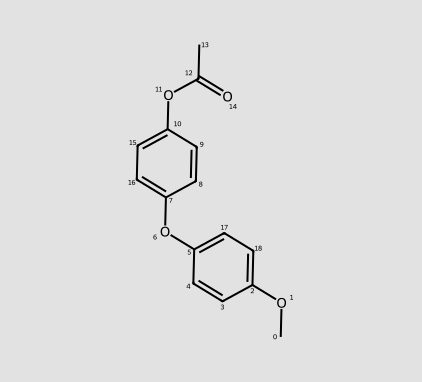 COc1ccc(Oc2ccc(OC(C)=O)cc2)cc1